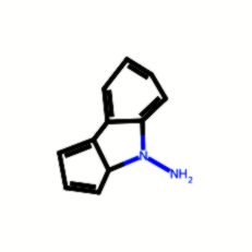 NN1c2ccccc2C2=CC=CC21